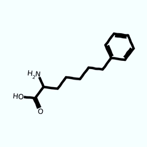 NC(CCCCCc1ccccc1)C(=O)O